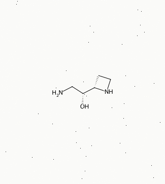 NC[C@@H](O)[C@@H]1CCN1